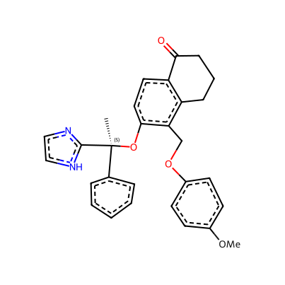 COc1ccc(OCc2c(O[C@@](C)(c3ccccc3)c3ncc[nH]3)ccc3c2CCCC3=O)cc1